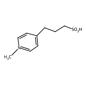 C[n+]1ccc(CCCS(=O)(=O)O)cc1